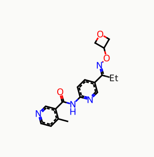 CCC(=NOC1COC1)c1ccc(NC(=O)c2cnccc2C)nc1